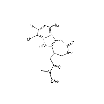 CON(C)C(=O)CC1CNC(=O)Cc2c1[nH]c1c(Cl)c(Cl)cc(Br)c21